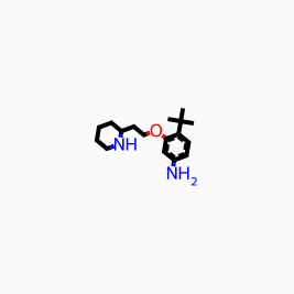 CC(C)(C)c1ccc(N)cc1OCCC1CCCCN1